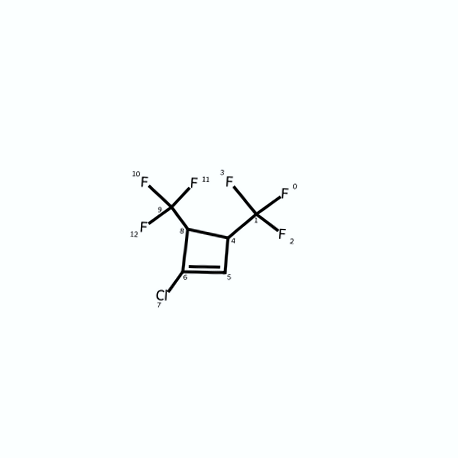 FC(F)(F)C1C=C(Cl)C1C(F)(F)F